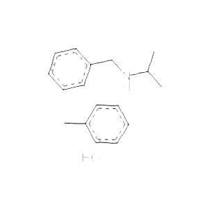 CC(C)NCc1ccccc1.Cc1ccccc1.Cl